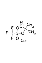 CC(C)(C)OS(=O)(=O)C(F)(F)F.[Cu]